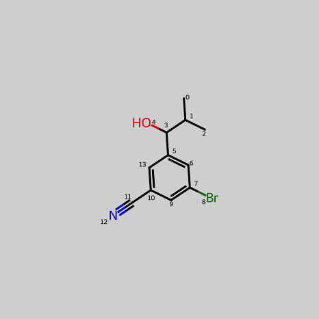 CC(C)C(O)c1cc(Br)cc(C#N)c1